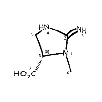 CN1C(=N)NC[C@H]1C(=O)O